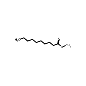 CCCCCCCCCC(=S)OC